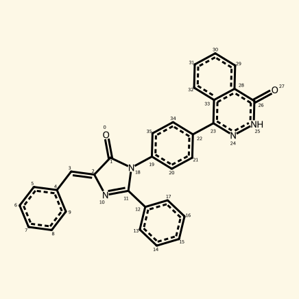 O=C1/C(=C/c2ccccc2)N=C(c2ccccc2)N1c1ccc(-c2n[nH]c(=O)c3ccccc23)cc1